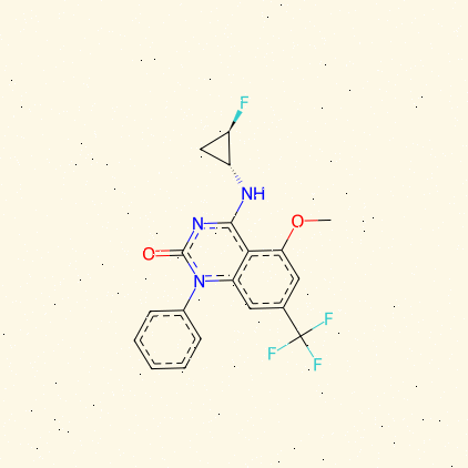 COc1cc(C(F)(F)F)cc2c1c(N[C@@H]1C[C@H]1F)nc(=O)n2-c1ccccc1